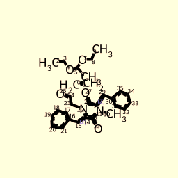 C=C.CCOC(C)OCC.Cn1c(=O)/c(=C/c2ccccc2)n(CC=O)c(=O)/c1=C/c1ccccc1